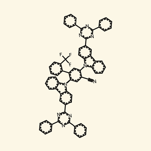 N#Cc1cc(-n2c3ccccc3c3cc(-c4nc(-c5ccccc5)nc(-c5ccccc5)n4)ccc32)c(-c2ccccc2C(F)(F)F)cc1-n1c2ccccc2c2cc(-c3nc(-c4ccccc4)nc(-c4ccccc4)n3)ccc21